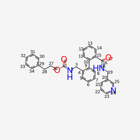 O=C(NCc1ccccc1-c1ccccc1C(=O)NCc1cccnc1)OCCc1ccccc1